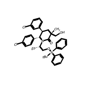 CC[C@@H](CO[Si](c1ccccc1)(c1ccccc1)C(C)(C)C)N1C(=O)[C@@](C)(CO)C[C@H](c2cccc(Cl)c2)[C@H]1c1ccc(Cl)cc1